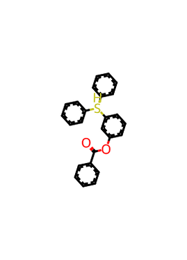 O=C(Oc1cccc([SH](c2ccccc2)c2ccccc2)c1)c1ccccc1